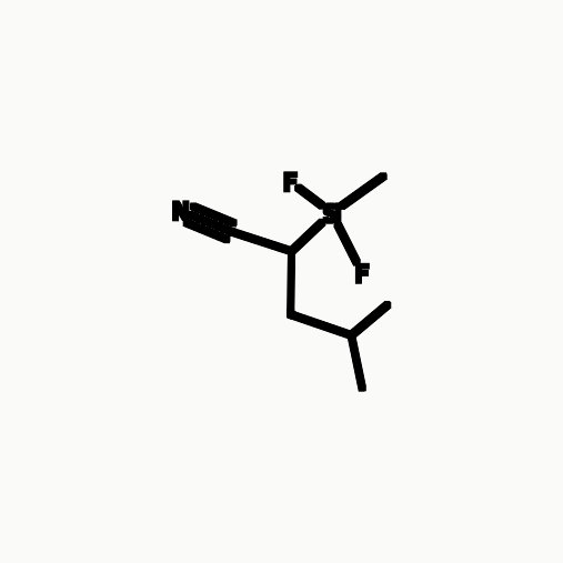 CC(C)CC(C#N)[Si](C)(F)F